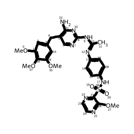 COc1cc(Cc2cnc(NC(C)=Nc3ccc(NS(=O)(=O)c4nccnc4OC)cc3)nc2N)cc(OC)c1OC